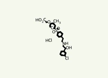 Cc1cc(S(=O)(=O)c2ccc(CCNC[C@H](O)c3cccc(Cl)c3)cc2)ccc1OCC(=O)O.Cl